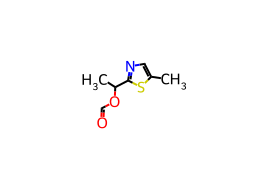 Cc1cnc(C(C)OC=O)s1